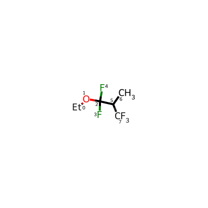 CCOC(F)(F)C(C)C(F)(F)F